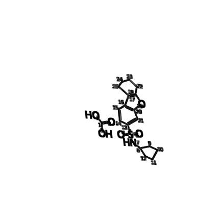 O=C(O)O.O=S(=O)(NC1CCCC1)c1ccc2c3c(oc2c1)CCCC3